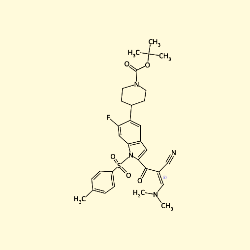 Cc1ccc(S(=O)(=O)n2c(C(=O)/C(C#N)=C\N(C)C)cc3cc(C4CCN(C(=O)OC(C)(C)C)CC4)c(F)cc32)cc1